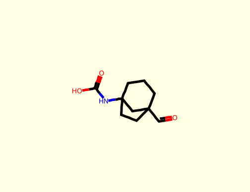 O=CC12CCCC(NC(=O)O)(CC1)C2